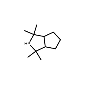 CC1(C)PC(C)(C)C2CCCC21